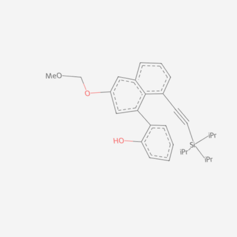 COCOc1cc(-c2ccccc2O)c2c(C#C[Si](C(C)C)(C(C)C)C(C)C)cccc2c1